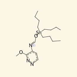 CCC[CH2][Sn]([CH2]CCC)([CH2]CCC)[O]/C=N/c1ccnnc1OC